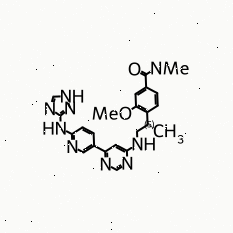 CNC(=O)c1ccc([C@H](C)CNc2cc(-c3ccc(Nc4nc[nH]n4)nc3)ncn2)c(OC)c1